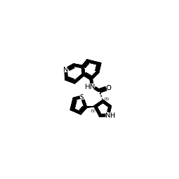 O=C(Nc1cccc2cnccc12)[C@@H]1CNC[C@H]1c1cccs1